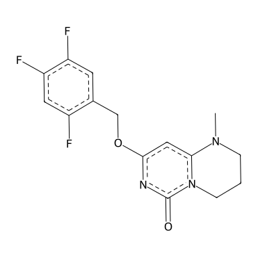 CN1CCCn2c1cc(OCc1cc(F)c(F)cc1F)nc2=O